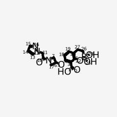 O=C(O)c1c(OC2CN(C(=O)Cn3cccn3)C2)ccc2c1O[B-](O)(O)CC2